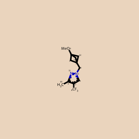 COC12CC(Cn3cc(C(F)(F)F)c(C)n3)(C1)C2